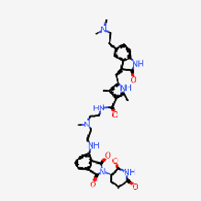 Cc1[nH]c(/C=C2\C(=O)Nc3ccc(CCN(C)C)cc32)c(C)c1C(=O)NCCN(C)CCNc1cccc2c1C(=O)N([C@@H]1CCC(=O)NC1=O)C2=O